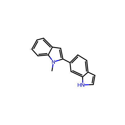 Cn1c(-c2ccc3cc[nH]c3c2)cc2cc[c]cc21